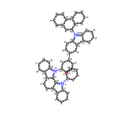 c1ccc(-n2c3ccccc3c3ccc4c5ccccc5n(-c5cccc(-c6ccc7c(c6)c6ccccc6n7-c6cc7ccccc7c7ccccc67)c5)c4c32)cc1